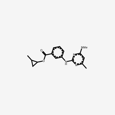 CNc1cc(C)nc(Nc2cccc(C(=O)OC3CC3C)c2)n1